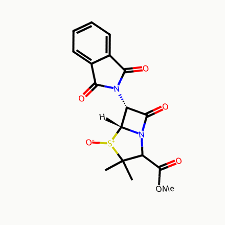 COC(=O)C1N2C(=O)[C@@H](N3C(=O)c4ccccc4C3=O)[C@H]2[S+]([O-])C1(C)C